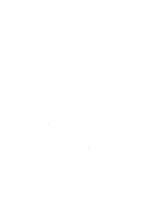 CCCCCCc1cc2cc(-c3nc(C)cs3)c(=O)oc2cc1OC(C)=O